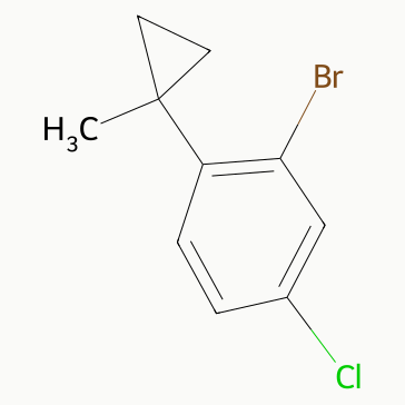 CC1(c2ccc(Cl)cc2Br)CC1